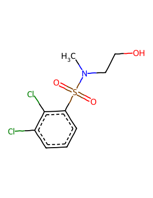 CN(CCO)S(=O)(=O)c1cccc(Cl)c1Cl